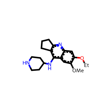 CCOc1cc2nc3c(c(NC4CCNCC4)c2cc1OC)CCC3